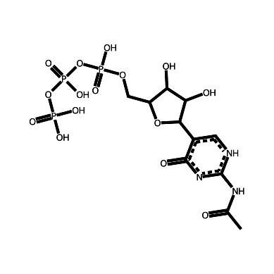 CC(=O)Nc1nc(=O)c(C2OC(COP(=O)(O)OP(=O)(O)OP(=O)(O)O)C(O)C2O)c[nH]1